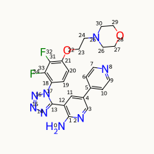 Nc1ncc(-c2ccncc2)cc1-c1nnnn1-c1ccc(OCCN2CCOCC2)c(F)c1F